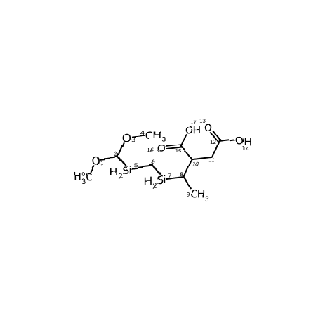 COC(OC)[SiH2]C[SiH2]C(C)C(CC(=O)O)C(=O)O